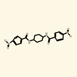 O=C(NC1CCC(NC(=O)c2ccc([N+](=O)[O-])cc2)CC1)c1ccc([N+](=O)[O-])cc1